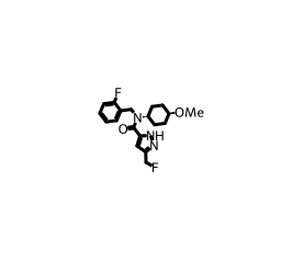 CO[C@H]1CC[C@H](N(Cc2ccccc2F)C(=O)c2cc(CF)n[nH]2)CC1